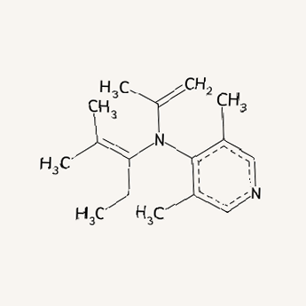 C=C(C)N(C(CC)=C(C)C)c1c(C)cncc1C